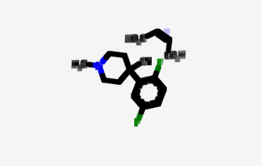 CN1CCC(C#N)(c2cc(F)ccc2F)CC1.O=C(O)/C=C\C(=O)O